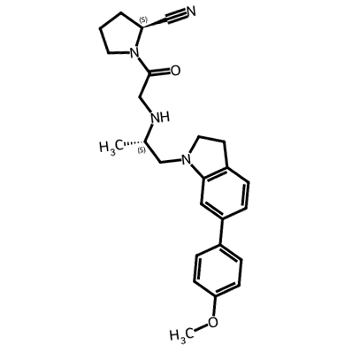 COc1ccc(-c2ccc3c(c2)N(C[C@H](C)NCC(=O)N2CCC[C@H]2C#N)CC3)cc1